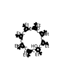 CCC(C)(C)C1=CC2CC3=CC(C(C)(C)CC)=CC(CC4=CC(C(C)(C)CC)=CC(CC5C=C(C(C)(C)CC)C=C(CC6C=C(C(C)(C)CC)C=C(CC7=CC(C(C)(C)CC)=CC(CC8C=C(C(C)(C)CC)C=C(CC9C=C(C(C)(C)CC)C=C(CC(=C1)C2O)C9O)C8O)C7O)C6O)C5O)C4O)C3O